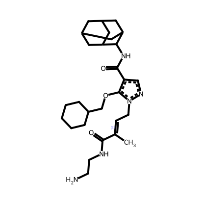 C/C(=C\Cn1ncc(C(=O)NC2C3CC4CC(C3)CC2C4)c1OCC1CCCCC1)C(=O)NCCN